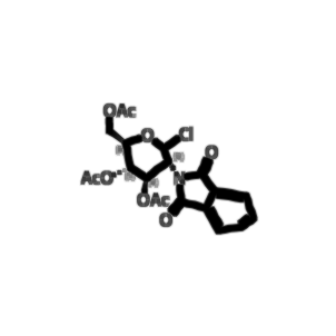 CC(=O)OC[C@H]1OC(Cl)[C@H](N2C(=O)c3ccccc3C2=O)[C@@H](OC(C)=O)[C@@H]1OC(C)=O